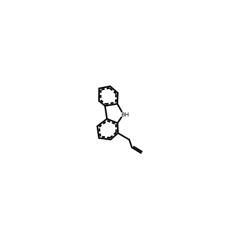 C=CCc1cccc2c1Bc1ccccc1-2